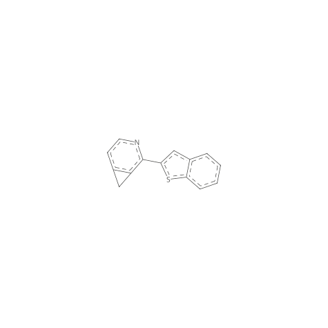 c1ccc2sc(-c3nccc4c3C4)cc2c1